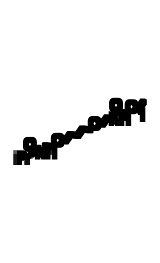 CC(I)OCC(=O)NCCOCCCCCOCCNC(=O)C(C)C